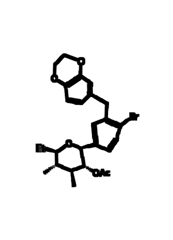 CC[C@H]1O[C@@H](c2ccc(Br)c(Cc3ccc4c(c3)OCCO4)c2)[C@H](OC(C)=O)[C@@H](C)[C@@H]1C